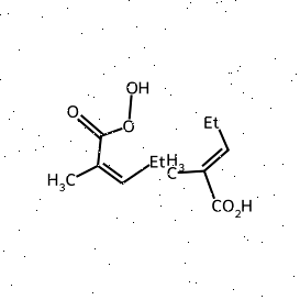 CCC=C(C)C(=O)O.CCC=C(C)C(=O)OO